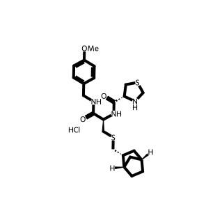 COc1ccc(CNC(=O)[C@H](CSC[C@@H]2C[C@@H]3CC[C@H]2C3)NC(=O)[C@@H]2CSCN2)cc1.Cl